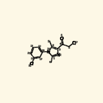 Cc1nc(C(=O)CCl)c(C)n1-c1cccc(Cl)c1